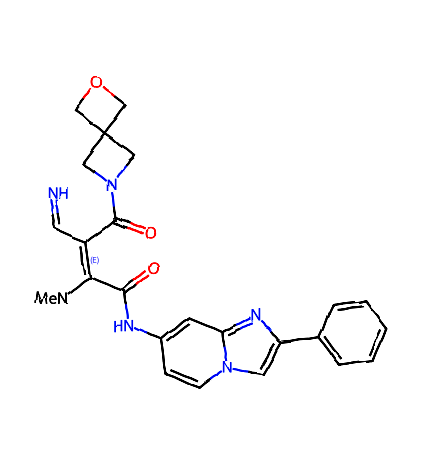 CN/C(C(=O)Nc1ccn2cc(-c3ccccc3)nc2c1)=C(\C=N)C(=O)N1CC2(COC2)C1